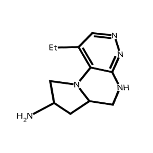 CCc1cnnc2c1N1CC(N)CC1CN2